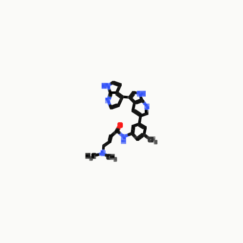 CN(C)C/C=C/C(=O)Nc1cc(-c2cnc3[nH]cc(-c4ccnc5[nH]ccc45)c3c2)cc(C(F)(F)F)c1